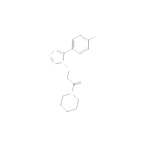 O=C(COn1nnnc1-c1ccc(F)cc1)N1CCCCC1